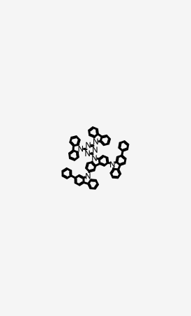 c1ccc(-c2ccc3c4ccccc4n(-c4ccc5c(c4)c4cc(-n6c7ccccc7c7ccc(-c8ccccc8)cc76)ccc4n5-c4nc(-n5c6ccccc6c6ccccc65)nc(-n5c6ccccc6c6ccccc65)n4)c3c2)cc1